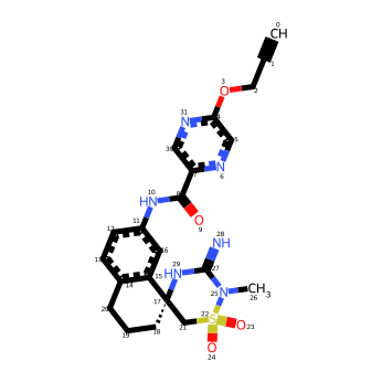 C#CCOc1cnc(C(=O)Nc2ccc3c(c2)[C@]2(CCC3)CS(=O)(=O)N(C)C(=N)N2)cn1